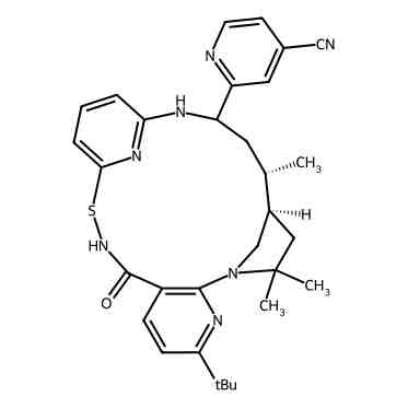 C[C@H]1CC(c2cc(C#N)ccn2)Nc2cccc(n2)SNC(=O)c2ccc(C(C)(C)C)nc2N2C[C@@H]1CC2(C)C